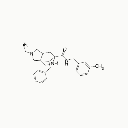 Cc1cccc(CNC(=O)C23CC4CN(CC(C)C)C(C4CN2)C3Cc2ccccc2)c1